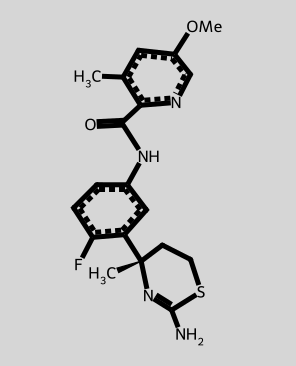 COc1cnc(C(=O)Nc2ccc(F)c([C@]3(C)CCSC(N)=N3)c2)c(C)c1